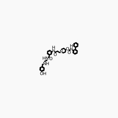 O=C(CCN1CCC(OC(=O)Nc2ccccc2-c2ccccc2)CC1)Nc1cccc(C(=O)NCCNCc2ccc(O)cc2)c1